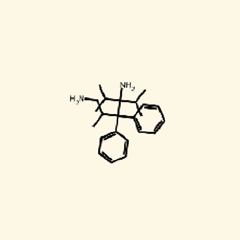 CC(CN)C(c1ccccc1)(c1ccccc1)C(N)(C(C)C)C(C)C